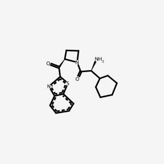 N[C@H](C(=O)N1CC[C@@H]1C(=O)c1nc2ccccc2s1)C1CCCCC1